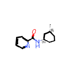 C[C@@H]1CCC[C@H](NC(=O)c2ccccn2)C1